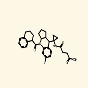 O=C(O)CCC(=O)NC1(C2c3ccc(Cl)cc3N(C(=O)C3CCCc4ccccc43)C3CCCC32)CC1